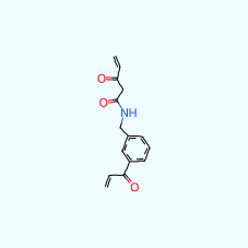 C=CC(=O)CC(=O)NCc1cccc(C(=O)C=C)c1